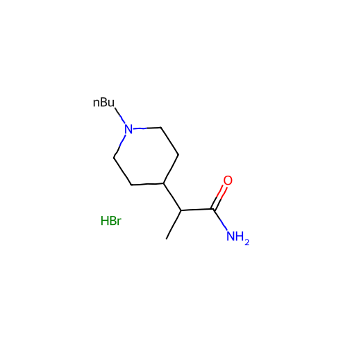 Br.CCCCN1CCC(C(C)C(N)=O)CC1